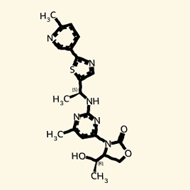 Cc1ccc(-c2ncc([C@H](C)Nc3nc(C)cc(N4C(=O)OCC4[C@@H](C)O)n3)s2)cn1